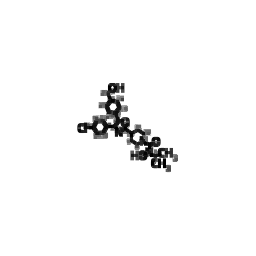 CC(C)N(O)C(=O)N1CCC(c2nc(-c3ccc(Cl)cc3)c(-c3ccc(CO)cc3)o2)CC1